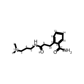 CN(C)CCCNC(=O)C[CH]c1ccccc1C(N)=O